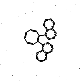 C1=CC=CC(c2cccc3ccccc23)=C(c2cccc3ccccc23)C=C1